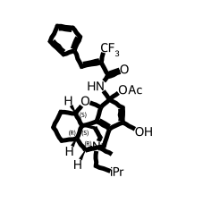 CC(=O)OC1(NC(=O)C(=Cc2ccccc2)C(F)(F)F)C=C(O)C2=C3C1O[C@H]1CCC[C@H]4[C@@H](C2)[N+](C)(CC(C)C)CC[C@]314